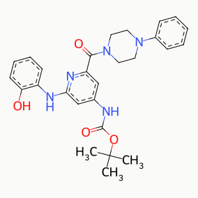 CC(C)(C)OC(=O)Nc1cc(Nc2ccccc2O)nc(C(=O)N2CCN(c3ccccc3)CC2)c1